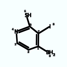 Bc1ccnc(S)c1I